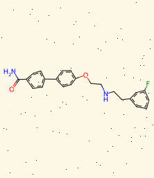 NC(=O)c1ccc(-c2ccc(OCCNCCc3cccc(F)c3)cc2)cc1